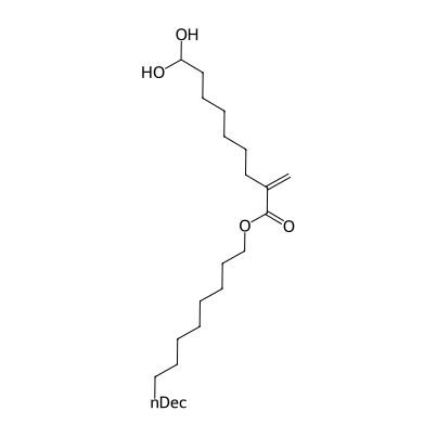 C=C(CCCCCCC(O)O)C(=O)OCCCCCCCCCCCCCCCCCC